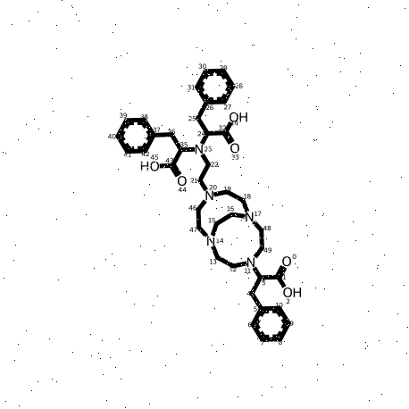 O=C(O)C(Cc1ccccc1)N1CCN2CCN(CCN(CCN(C(Cc3ccccc3)C(=O)O)C(Cc3ccccc3)C(=O)O)CC2)CC1